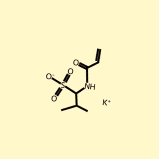 C=CC(=O)NC(C(C)C)S(=O)(=O)[O-].[K+]